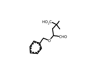 CC(C)(CC(C=O)OCc1ccccc1)C(=O)O